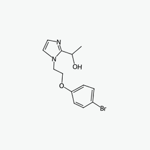 CC(O)c1nccn1CCOc1ccc(Br)cc1